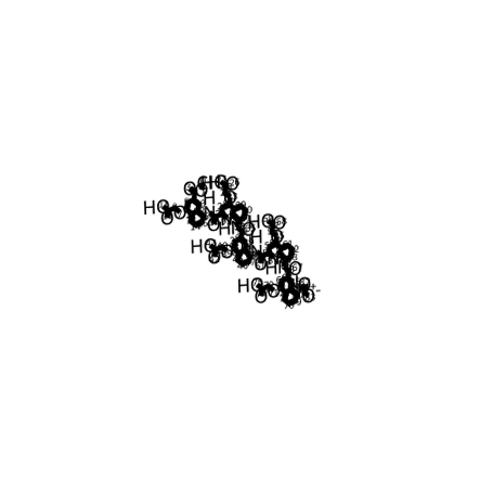 COC(=O)c1cc(OCC(=O)O)c2cccc(NC(=O)c3cc(OCC(=O)O)c4cccc(NC(=O)c5cc(OCC(=O)O)c6cccc(NC(=O)c7cc(OCC(=O)O)c8cccc(NC(=O)c9cc(OCC(=O)O)c%10cccc([N+](=O)[O-])c%10n9)c8n7)c6n5)c4n3)c2c1